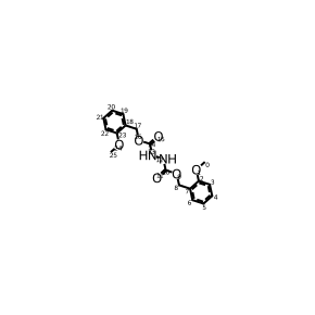 COc1ccccc1COC(=O)NNC(=O)OCc1ccccc1OC